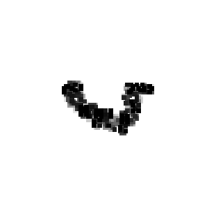 COc1ccc(OC2CCN(C(=O)c3ccc(C(=O)NC4CCN(Cc5ccc(S(C)(=O)=O)cc5)CC4)cn3)CC2)cc1